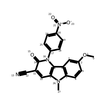 COc1ccc2c(c1)c1c(cc(C#N)c(=O)n1-c1ccc([N+](=O)[O-])cc1)n2C